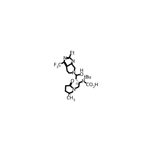 CCc1nc2c(c(C(F)(F)F)n1)CCN(C(O)C[C@@H](CN1C[C@H](C)CCC1=O)N(C(=O)O)C(C)(C)C)C2